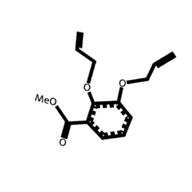 C=CCOc1cccc(C(=O)OC)c1OCC=C